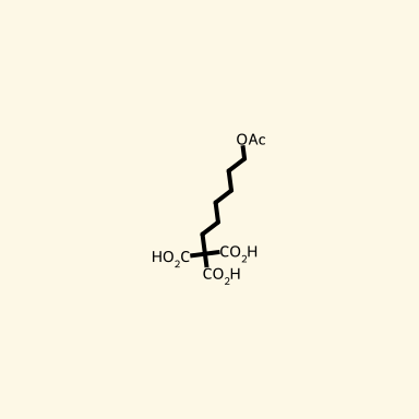 CC(=O)OCCCCCCC(C(=O)O)(C(=O)O)C(=O)O